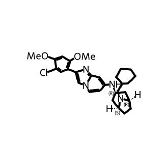 COc1cc(OC)c(-c2cn3ccc(N[C@H]4C[C@H]5CC[C@@H](C4)N5CC4CCCCC4)cc3n2)cc1Cl